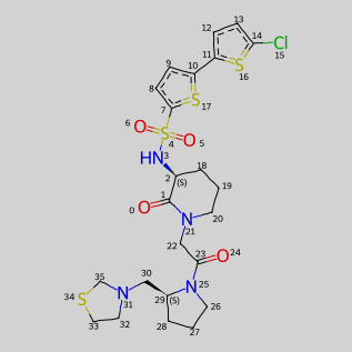 O=C1[C@@H](NS(=O)(=O)c2ccc(-c3ccc(Cl)s3)s2)CCCN1CC(=O)N1CCC[C@H]1CN1CCSC1